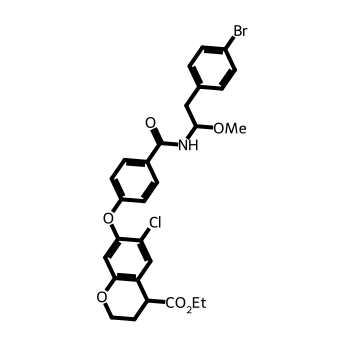 CCOC(=O)C1CCOc2cc(Oc3ccc(C(=O)NC(Cc4ccc(Br)cc4)OC)cc3)c(Cl)cc21